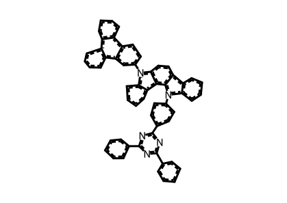 c1ccc(-c2nc(-c3ccccc3)nc(-c3ccc(-n4c5ccccc5c5ccc6c(c7ccccc7n6-c6ccc7c8ccccc8c8ccccc8c7c6)c54)cc3)n2)cc1